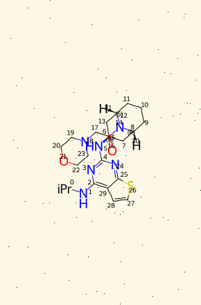 CC(C)Nc1nc(N[C@@H]2C[C@H]3CCC[C@@H](C2)N3C(=O)CN2CCOCC2)nc2sccc12